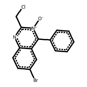 [O-][n+]1c(CCl)nc2ccc(Br)cc2c1-c1ccccc1